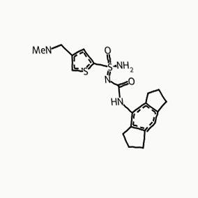 CNCc1csc([S@](N)(=O)=NC(=O)Nc2c3c(cc4c2CCC4)CCC3)c1